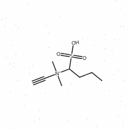 C#C[N+](C)(C)C(CCC)S(=O)(=O)O